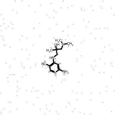 CN(C)CC(C)(O)CNc1cc(N)ncc1C#N